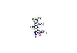 COc1cc(-c2cn(C)c(=O)c3[nH]ncc23)cc(Cl)c1CN1CCC(C(C)C)C(F)(F)C1